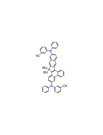 CC(C)(C)C1(C(C)(C)C)c2cc3cc(N(c4ccccc4)c4cccc(C#N)c4)ccc3cc2-c2c1c1ccc(N(c3ccccc3)c3cccc(C#N)c3)cc1c1ccccc21